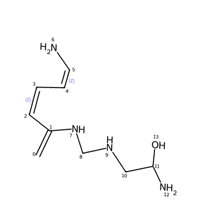 C=C(/C=C\C=C/N)NCNCC(N)O